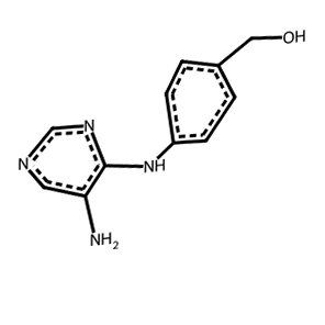 Nc1cncnc1Nc1ccc(CO)cc1